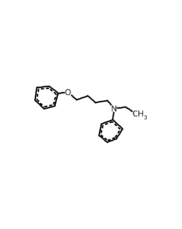 CCN(CCCCOc1ccccc1)c1ccccc1